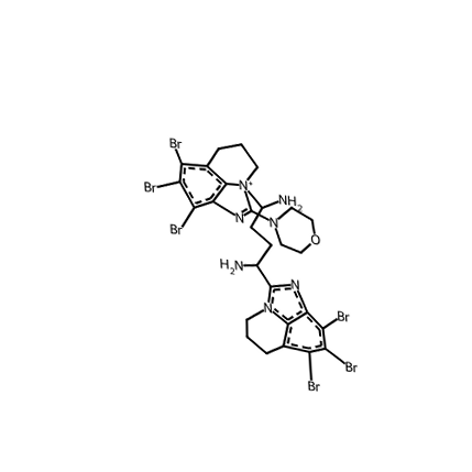 NC(CCC(N)[N+]12CCCc3c(Br)c(Br)c(Br)c(c31)N=C2N1CCOCC1)c1nc2c(Br)c(Br)c(Br)c3c2n1CCC3